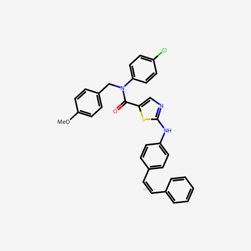 COc1ccc(CN(C(=O)c2cnc(Nc3ccc(/C=C\c4ccccc4)cc3)s2)c2ccc(Cl)cc2)cc1